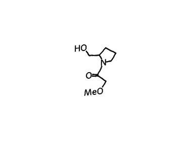 COCC(=O)N1CCCC1CO